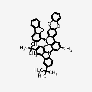 Cc1cc2c3c(c1)-n1c4ccc(C(C)(C)C)cc4c4cc(C(C)(C)C)cc(c41)B3N(c1cccc3c1oc1ccccc13)c1cc3c(cc1-2)Oc1ccccc1O3